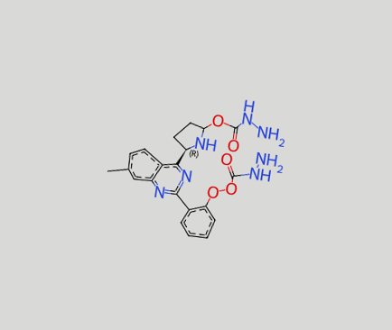 Cc1ccc2c([C@H]3CCC(OC(=O)NN)N3)nc(-c3ccccc3OOC(=O)NN)nc2c1